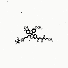 CCCC(=O)NOC(=O)c1ccc(C(c2ccc(OC)cc2)(c2ccc(OC)cc2)C(O)CCCCCNC(=O)C(F)(F)F)cc1